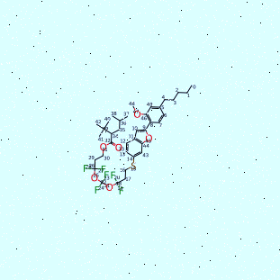 CCCCCc1ccc(-c2cc3ccc(SCCC(F)(F)OC(F)(F)OC(F)(F)CCOC(=O)C(CC(C)C)C(C)(C)C)cc3o2)c(OC)c1